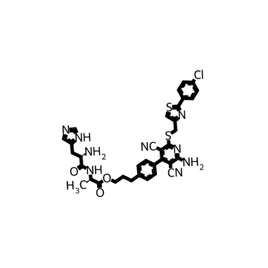 C[C@H](NC(=O)[C@@H](N)Cc1cnc[nH]1)C(=O)OCCCc1ccc(-c2c(C#N)c(N)nc(SCc3csc(-c4ccc(Cl)cc4)n3)c2C#N)cc1